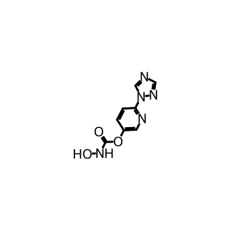 O=C(NO)Oc1ccc(-n2cncn2)nc1